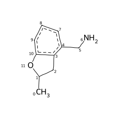 CC1Cc2c(CN)cccc2O1